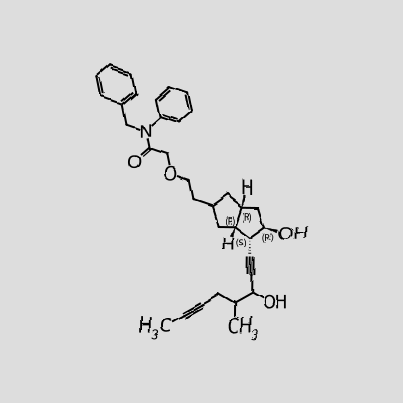 CC#CCC(C)C(O)C#C[C@@H]1[C@@H]2CC(CCOCC(=O)N(Cc3ccccc3)c3ccccc3)C[C@@H]2C[C@H]1O